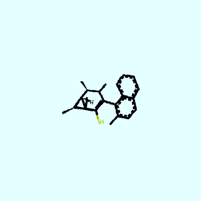 Cc1ccc2ccccc2c1C1=C(S)C2(C)[C@@H]([C@@H](C)C1C)[C@@H]2C